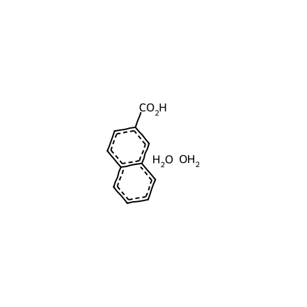 O.O.O=C(O)c1ccc2ccccc2c1